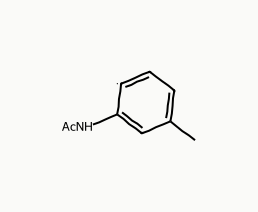 CC(=O)Nc1[c]ccc(C)c1